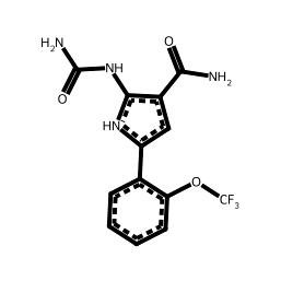 NC(=O)Nc1[nH]c(-c2ccccc2OC(F)(F)F)cc1C(N)=O